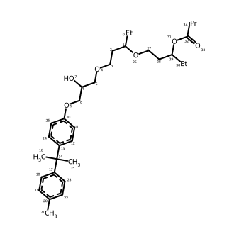 CCC(CCOCC(O)COc1ccc(C(C)(C)c2ccc(C)cc2)cc1)OCCC(CC)OC(=O)C(C)C